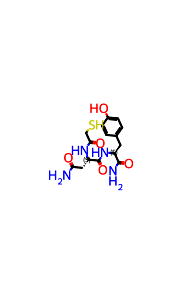 NC(=O)C[C@H](NC(=O)CS)C(=O)N[C@@H](Cc1ccc(O)cc1)C(N)=O